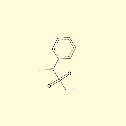 [CH2]N(c1ccccc1)S(=O)(=O)CC